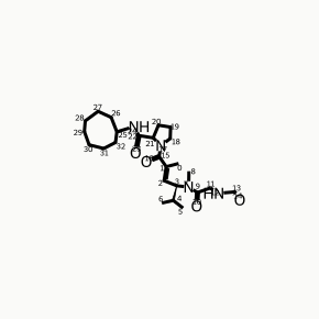 C/C(=C\[C@H](C(C)C)N(C)C(=O)CNC=O)C(=O)N1CCCC1C(=O)NC1CCCCCCC1